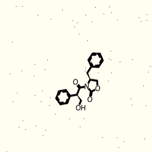 O=C1OC[C@H](Cc2ccccc2)N1C(=O)[C@@H](CO)c1ccccc1